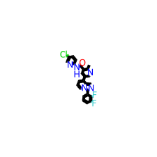 Cc1ncc(-c2cccn3c(-c4cccc(F)c4F)ncc23)cc1C(=O)Nc1ccc(Cl)cn1